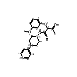 COc1cccc(OC(C(C)=O)C(=O)ON2CCN(c3ccncc3)CC2)c1